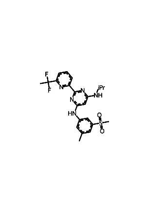 Cc1cc(Nc2cc(NC(C)C)nc(-c3cccc(C(C)(F)F)n3)n2)cc(S(C)(=O)=O)c1